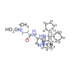 CN(CCC(=O)Nc1cnn(C)c1NC(c1ccccc1)(c1ccccc1)c1ccccc1)C(=O)O